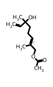 C=CC(C)(O)CC/C=C(\C)COC(C)=O